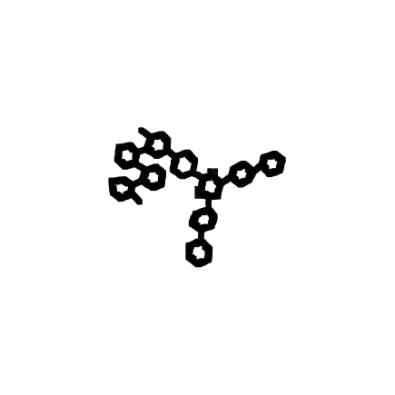 Cc1ccccc1-c1ccccc1-c1ccccc1-c1cc(C2=CCC(c3nc(-c4ccc(-c5ccccc5)cc4)cc(-c4ccc(-c5ccccc5)cc4)n3)C=C2)ccc1C